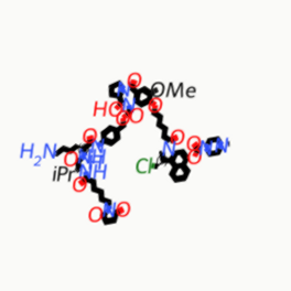 COc1cc2c(cc1OCCCCCC(=O)N1C[C@@H](CCl)c3c1cc(OC(=O)N1CCN(C)CC1)c1ccccc31)N(C(=O)OCc1ccc(NC(=O)[C@H](CCCCN)NC(=O)C(NC(=O)CCCCCN3C(=O)C=CC3=O)C(C)C)cc1)C(O)C1CCCN1C2=O